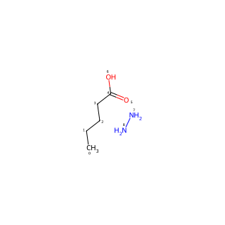 CCCCC(=O)O.NN